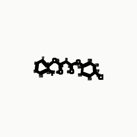 O=C(CC(=O)Oc1ccccc1F)Oc1ccc(Cl)cc1